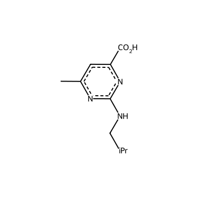 Cc1cc(C(=O)O)nc(NCC(C)C)n1